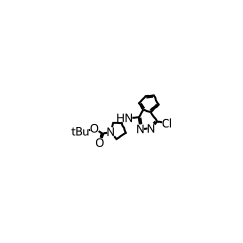 CC(C)(C)OC(=O)N1CC[C@H](Nc2nnc(Cl)c3ccccc23)C1